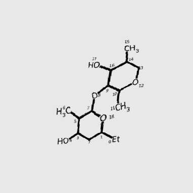 CCC1CC(O)C(C)C(OC2C(C)OCC(C)C2O)O1